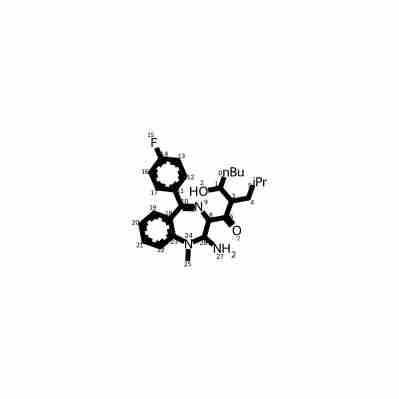 CCCCC(O)C(CC(C)C)C(=O)C1N=C(c2ccc(F)cc2)c2ccccc2N(C)C1N